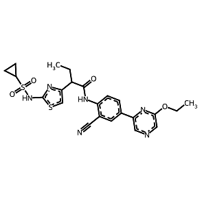 CCOc1cncc(-c2ccc(NC(=O)C(CC)c3csc(NS(=O)(=O)C4CC4)n3)c(C#N)c2)n1